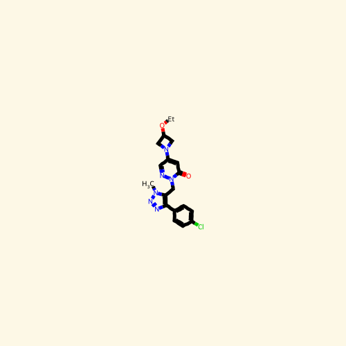 CCOC1CN(c2cnn(Cc3c(-c4ccc(Cl)cc4)nnn3C)c(=O)c2)C1